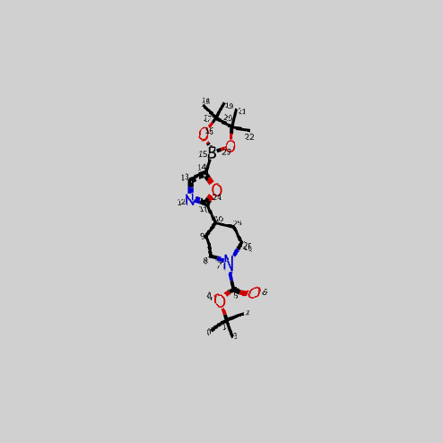 CC(C)(C)OC(=O)N1CCC(c2ncc(B3OC(C)(C)C(C)(C)O3)o2)CC1